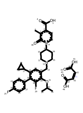 Cc1c(C(=O)O)ccn(C2CCN(Cc3cc(C4CC4)c(-c4ccc(F)cc4)c(F)c3OC(C)C)CC2)c1=O.O=C(O)/C=C\C(=O)O